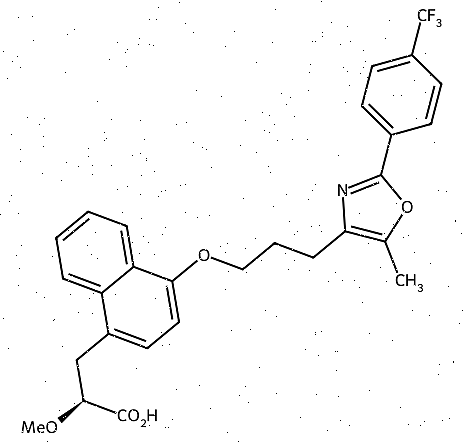 CO[C@@H](Cc1ccc(OCCCc2nc(-c3ccc(C(F)(F)F)cc3)oc2C)c2ccccc12)C(=O)O